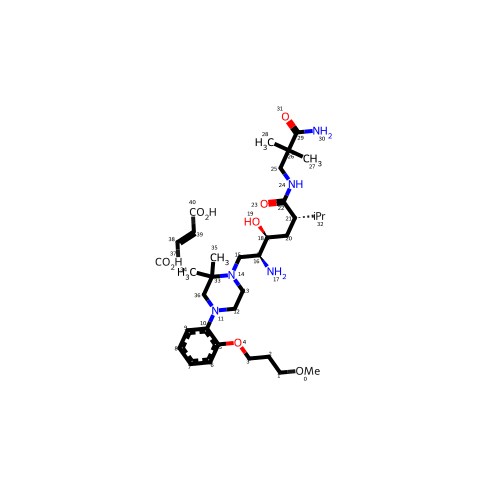 COCCCOc1ccccc1N1CCN(C[C@H](N)[C@@H](O)C[C@H](C(=O)NCC(C)(C)C(N)=O)C(C)C)C(C)(C)C1.O=C(O)/C=C/C(=O)O